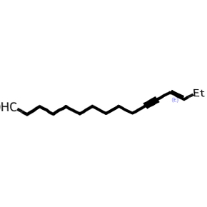 CC/C=C/C#CCCCCCCCCCC=O